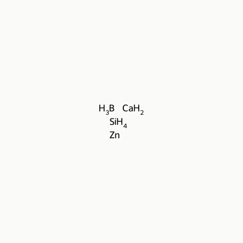 B.[CaH2].[SiH4].[Zn]